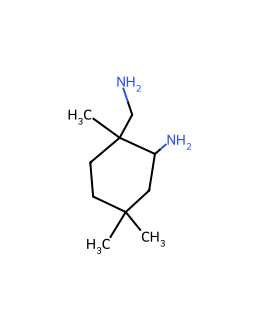 CC1(C)CCC(C)(CN)C(N)C1